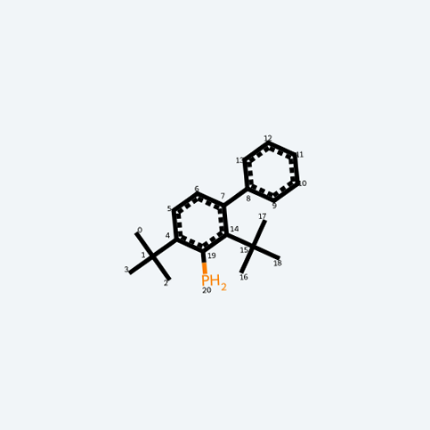 CC(C)(C)c1ccc(-c2ccccc2)c(C(C)(C)C)c1P